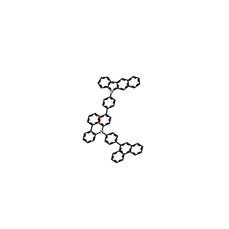 c1ccc(-c2ccccc2N(c2ccc(-c3ccc(-n4c5ccccc5c5cc6ccccc6cc54)cc3)cc2)c2ccc(-c3cc4ccccc4c4ccccc34)cc2)cc1